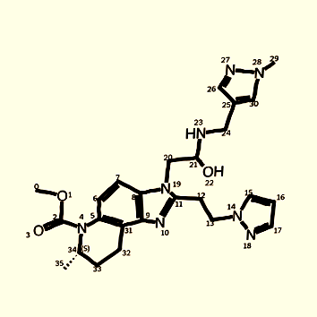 COC(=O)N1c2ccc3c(nc(CCn4cccn4)n3CC(O)NCc3cnn(C)c3)c2CC[C@@H]1C